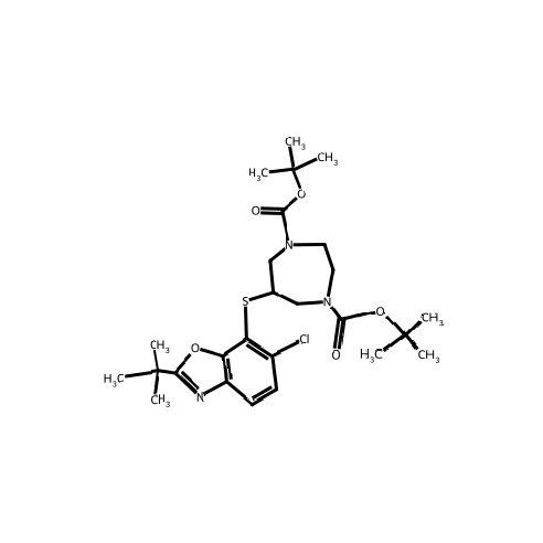 CC(C)(C)OC(=O)N1CCN(C(=O)OC(C)(C)C)CC(Sc2c(Cl)ccc3nc(C(C)(C)C)oc23)C1